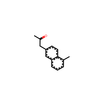 [CH2]c1cccc2cc(CC(C)=O)ccc12